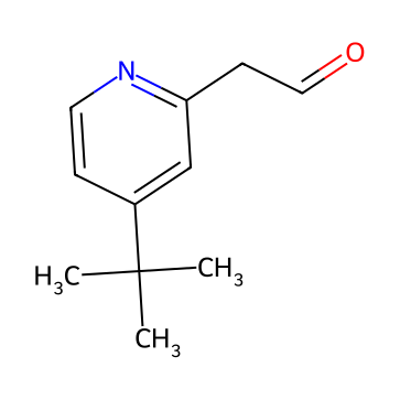 CC(C)(C)c1ccnc(CC=O)c1